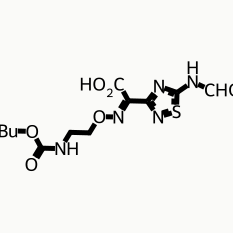 CC(C)(C)OC(=O)NCCON=C(C(=O)O)c1nsc(NC=O)n1